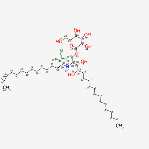 CCCCCCCCCCCCCC[C@@H](O)[C@@H](O)[C@H](COC1OC(CO)C(O)C(O)C1O)N[C@@H](CCCCCCCCCCC1CC1C)C(F)(F)F